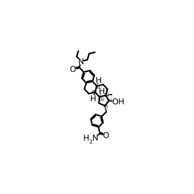 CCCN(CC)C(=O)c1ccc2c(c1)CC[C@@H]1[C@@H]2CC[C@]2(C)[C@@H](O)[C@@H](Cc3cccc(C(N)=O)c3)C[C@@H]12